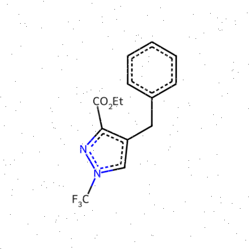 CCOC(=O)c1nn(C(F)(F)F)cc1Cc1ccccc1